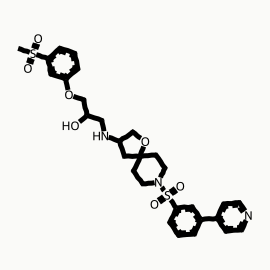 CS(=O)(=O)c1cccc(OCC(O)CNC2COC3(CCN(S(=O)(=O)c4cccc(-c5ccncc5)c4)CC3)C2)c1